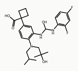 CC(C)CN(CC(C)(C)O)c1ccc(C2(C(=O)O)CCC2)cc1NC(O)Nc1ccc(F)cc1F